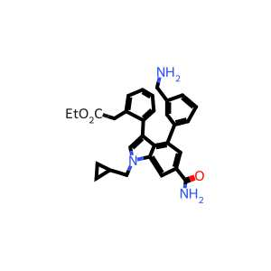 CCOC(=O)Cc1ccccc1-c1cn(CC2CC2)c2cc(C(N)=O)cc(-c3cccc(CN)c3)c12